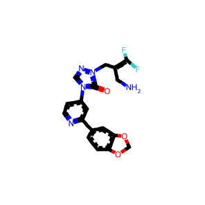 NCC(Cn1ncn(-c2ccnc(-c3ccc4c(c3)OCO4)c2)c1=O)=C(F)F